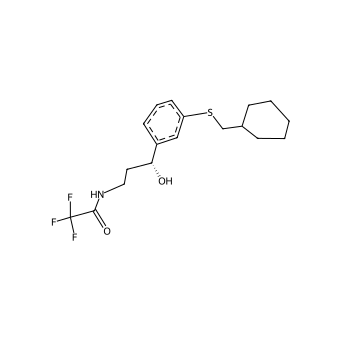 O=C(NCC[C@@H](O)c1cccc(SCC2CCCCC2)c1)C(F)(F)F